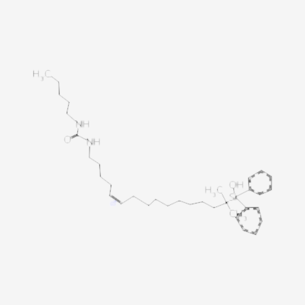 CCCCCNC(=O)NCCCC/C=C\CCCCCCCCC(C)(C)[Si](O)(c1ccccc1)c1ccccc1